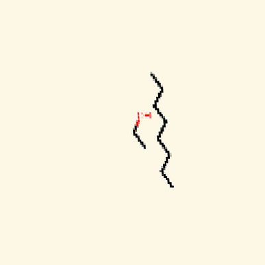 CCCCCCCC.CCO